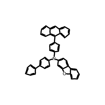 c1ccc(-c2ccc(N(c3ccc(-c4c5ccccc5cc5ccccc45)cc3)c3ccc4c(c3)oc3ccccc34)cc2)cc1